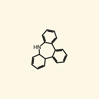 C1=CC2Nc3ccccc3-c3ccccc3C2C=C1